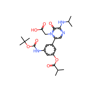 CC(C)Nc1ncc(-c2cc(NC(=O)OC(C)(C)C)cc(OC(=O)C(C)C)c2)n(CC(=O)O)c1=O